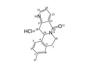 Cc1ccc2c(c1)CCN1C(=O)c3cccnc3CC21.Cl